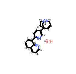 Br.C1=CC2(c3ccc(-c4cccc5cccnc45)nc3)CCN(C1)C2